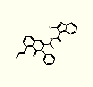 C/C=C/c1cccc2cc(C(C)NC(=O)c3c(N)nn4cccnc34)n(-c3ccccc3)c(=O)c12